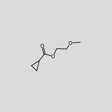 COCCOC(=O)C1CC1